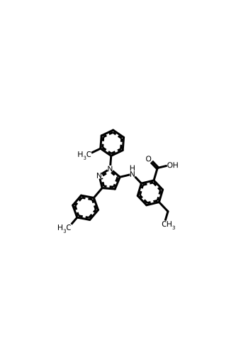 CCc1ccc(Nc2cc(-c3ccc(C)cc3)nn2-c2ccccc2C)c(C(=O)O)c1